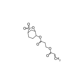 C=CC(=O)OCCC(=O)OC1CCC2CC1OS2(=O)=O